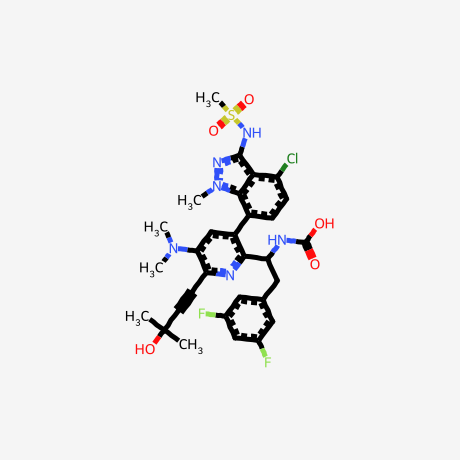 CN(C)c1cc(-c2ccc(Cl)c3c(NS(C)(=O)=O)nn(C)c23)c(C(Cc2cc(F)cc(F)c2)NC(=O)O)nc1C#CC(C)(C)O